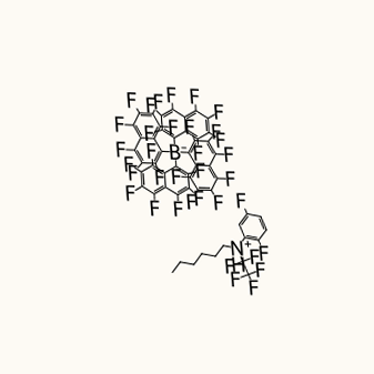 CCCCCC[NH+](c1cc(F)ccc1F)C(F)(F)C(F)(F)F.Fc1c(F)c(F)c2c([B-](c3c(F)c(F)c(F)c4c(F)c(F)c(F)c(F)c34)(c3c(F)c(F)c(F)c4c(F)c(F)c(F)c(F)c34)c3c(F)c(F)c(F)c4c(F)c(F)c(F)c(F)c34)c(F)c(F)c(F)c2c1F